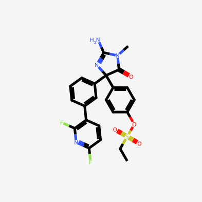 CCS(=O)(=O)Oc1ccc(C2(c3cccc(-c4ccc(F)nc4F)c3)N=C(N)N(C)C2=O)cc1